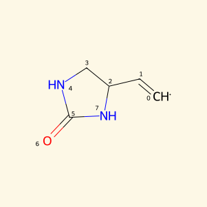 [CH]=CC1CNC(=O)N1